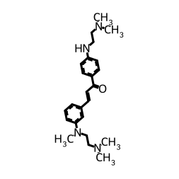 CN(C)CCNc1ccc(C(=O)C=Cc2cccc(N(C)CCN(C)C)c2)cc1